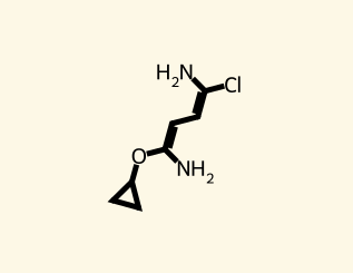 N/C(Cl)=C\C=C(/N)OC1CC1